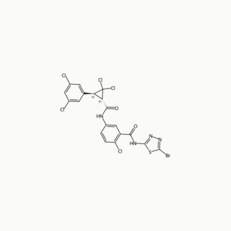 O=C(Nc1nnc(Br)s1)c1cc(NC(=O)[C@@H]2[C@@H](c3cc(Cl)cc(Cl)c3)C2(Cl)Cl)ccc1Cl